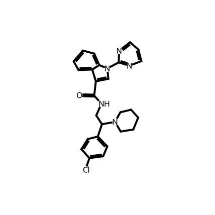 O=C(NCC(c1ccc(Cl)cc1)N1CCCCC1)c1cn(-c2ncccn2)c2ccccc12